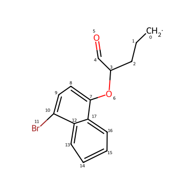 [CH2]CCC(C=O)Oc1ccc(Br)c2ccccc12